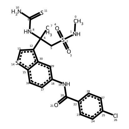 CNS(=O)(=O)CC(C)(NC(N)=S)c1csc2ccc(NC(=O)c3ccc(Cl)cc3)cc12